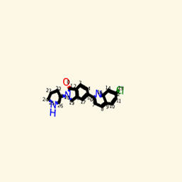 O=C1c2ccc(-c3ccc4ccc(Cl)cc4n3)cc2CN1C1CCCNC1